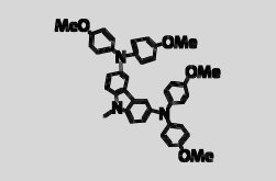 COc1ccc(N(c2ccc(OC)cc2)c2ccc3c(c2)c2cc(N(c4ccc(OC)cc4)c4ccc(OC)cc4)ccc2n3C)cc1